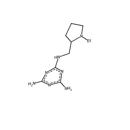 CCN1CCCC1CNc1nc(N)nc(N)n1